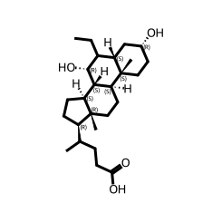 CCC1[C@@H](O)[C@@H]2[C@H](CC[C@]3(C)[C@@H](C(C)CCC(=O)O)CC[C@@H]23)[C@@]2(C)CC[C@@H](O)C[C@@H]12